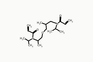 C=CC(=O)N(CC(C)COCC(C)N(C(=O)C=C)C(C)C)C(C)C